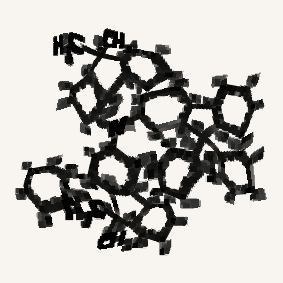 CC1(C)c2ccccc2-c2c(N(c3cc(-c4ccccc4)c4c(c3)-c3ccccc3C4(C)C)c3ccc4c(c3)C(c3ccccc3)(c3ccccc3)c3ccccc3-4)cccc21